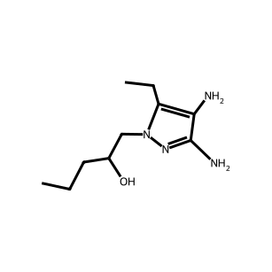 CCCC(O)Cn1nc(N)c(N)c1CC